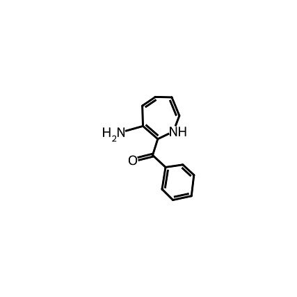 NC1=C(C(=O)c2ccccc2)NC=CC=C1